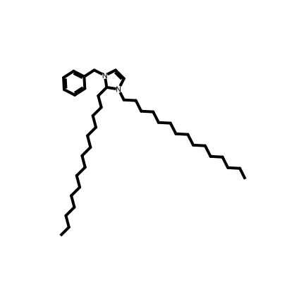 CCCCCCCCCCCCCCCC1N(CCCCCCCCCCCCCCC)C=CN1Cc1ccccc1